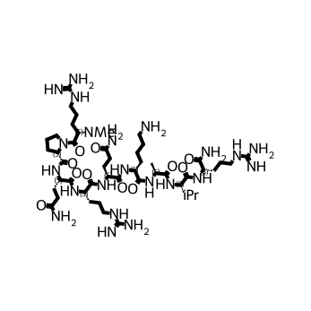 CN[C@@H](CCCNC(=N)N)C(=O)N1CCC[C@H]1C(=O)N[C@@H](CCC(N)=O)C(=O)N[C@@H](CCCNC(=N)N)C(=O)N[C@@H](CCC(N)=O)C(=O)N[C@@H](CCCCN)C(=O)N[C@@H](C)C(=O)N[C@H](C(=O)N[C@@H](CCCNC(=N)N)C(N)=O)C(C)C